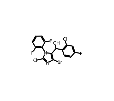 OC(c1ccc(F)cc1Cl)c1c(Br)nc(Cl)n1-c1c(F)cccc1F